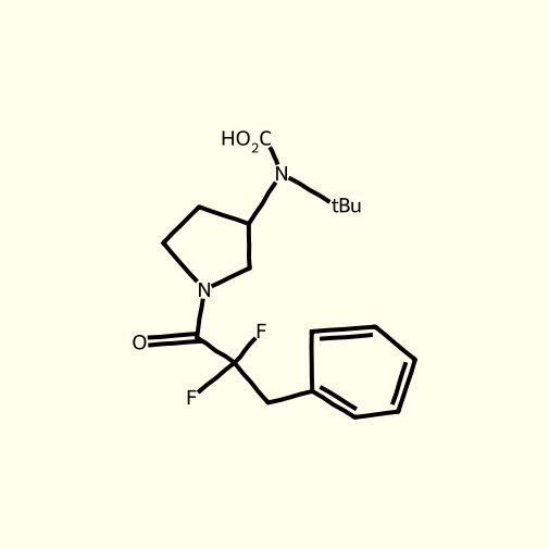 CC(C)(C)N(C(=O)O)C1CCN(C(=O)C(F)(F)Cc2ccccc2)C1